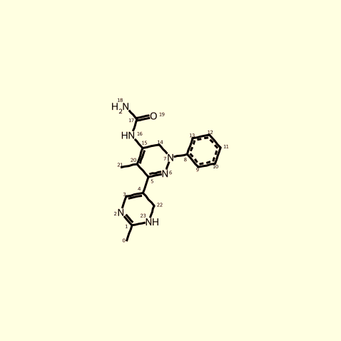 CC1=NC=C(C2=NN(c3ccccc3)CC(NC(N)=O)=C2C)CN1